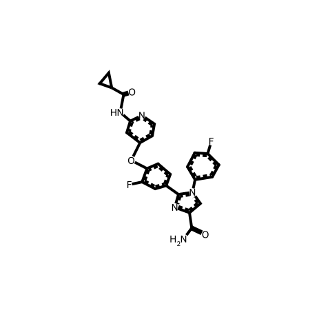 NC(=O)c1cn(-c2ccc(F)cc2)c(-c2ccc(Oc3ccnc(NC(=O)C4CC4)c3)c(F)c2)n1